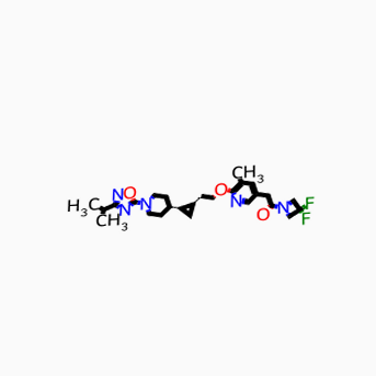 Cc1cc(CC(=O)N2CC(F)(F)C2)cnc1OCC[C@@H]1C[C@@H]1C1CCN(c2nc(C(C)C)no2)CC1